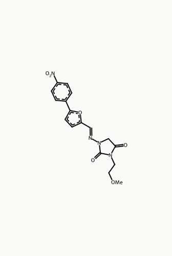 COCCN1C(=O)CN(/N=C/c2ccc(-c3ccc([N+](=O)[O-])cc3)o2)C1=O